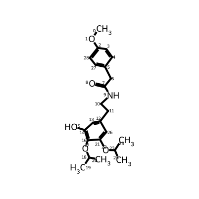 COc1ccc(CC(=O)NCCc2cc(O)c(OC(C)C)c(OC(C)C)c2)cc1